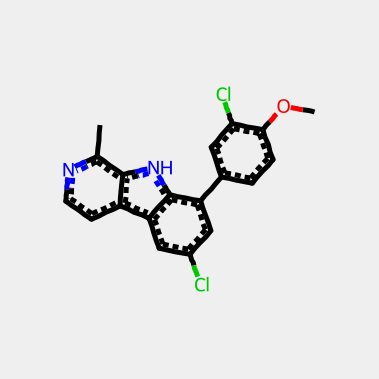 COc1ccc(-c2cc(Cl)cc3c2[nH]c2c(C)nccc23)cc1Cl